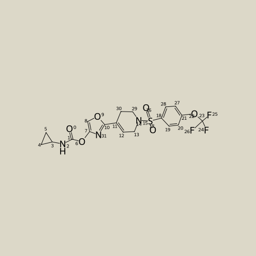 O=C(NC1CC1)Oc1coc(C2=CCN(S(=O)(=O)c3ccc(OC(F)(F)F)cc3)CC2)n1